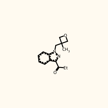 CCC(=O)c1nn(CC2(C)COC2)c2ccccc12